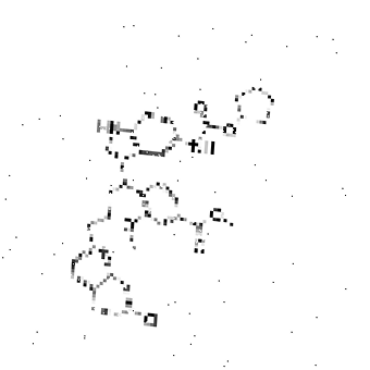 COC(=O)c1ccc(C(CCCc2ccc3ccc(Cl)cc3n2)c2c[nH]c3ccc(NC(=O)OC4CCCC4)cc23)c(OC)c1